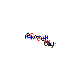 Cc1ccccc1NC(=O)Nc1ccc(CC(=O)Nc2ccc(C(CC(=O)O)NS(=O)(=O)c3cccnc3)nc2)cc1